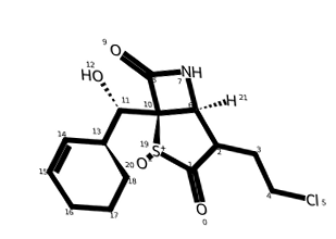 O=C1C(CCCl)[C@@H]2NC(=O)[C@]2([C@@H](O)[C@@H]2C=CCCC2)[S+]1[O-]